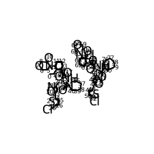 CCc1c(N2CCOCC2=O)cccc1S(=O)(=O)N[C@@H](Cc1cc(-c2ccc(Cl)s2)on1)C(=O)N1CCCCCC1.O=C([C@H](Cc1cc(-c2ccc(Cl)s2)on1)NS(=O)(=O)c1cccc(N2CCOCC2=O)c1Cl)N1CCCCCC1